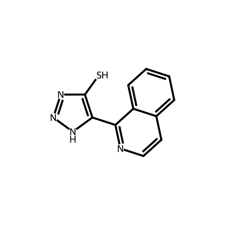 Sc1nn[nH]c1-c1nccc2ccccc12